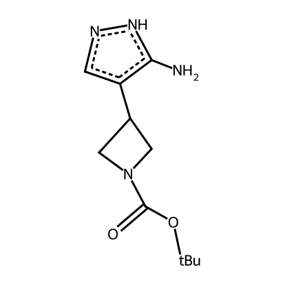 CC(C)(C)OC(=O)N1CC(c2cn[nH]c2N)C1